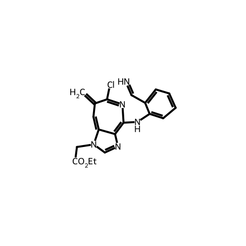 C=C1C=c2c(ncn2CC(=O)OCC)=C(Nc2ccccc2C=N)N=C1Cl